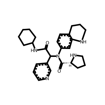 O=C(NC1CCCCC1)C(c1cccnc1)N(C(=O)[C@H]1CCCN1)c1ccc2c(c1)NCCC2